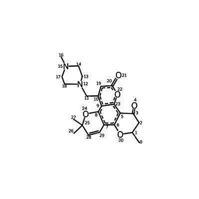 CC1CC(=O)c2c(c3c(c4c(CN5CCN(C)CC5)cc(=O)oc24)OC(C)(C)C=C3)O1